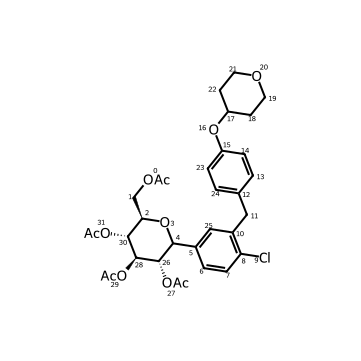 CC(=O)OC[C@H]1OC(c2ccc(Cl)c(Cc3ccc(OC4CCOCC4)cc3)c2)[C@H](OC(C)=O)[C@@H](OC(C)=O)[C@@H]1OC(C)=O